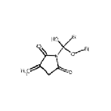 C=C1CC(=O)N(C(O)(CC)OCC)C1=O